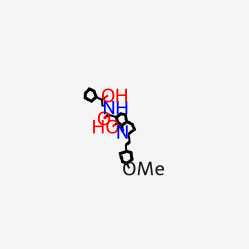 COc1ccc(C=Cc2ccc3ccc(C(=O)NCC(O)c4ccccc4)c(O)c3n2)cc1